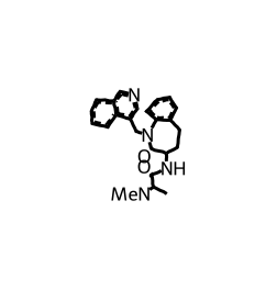 CNC(C)C(=O)NC1CCc2ccccc2N(Cc2cncc3ccccc23)C1=O